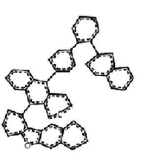 c1ccc(-c2ccc3ccccc3c2)c(-c2ccc(-c3c4ccccc4c(-c4cccc5oc6cc7ccccc7cc6c45)c4ccccc34)cc2)c1